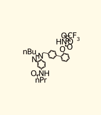 CCCCc1nc2cc(NC(=O)CCC)ccc2n1Cc1ccc(-c2ccccc2OC(=O)NS(=O)(=O)C(F)(F)F)cc1